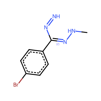 CN/N=C(\N=N)c1ccc(Br)cc1